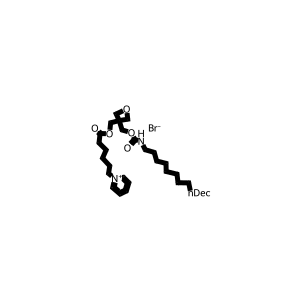 CCCCCCCCCCCCCCCCCCNC(=O)OCC1(COC(=O)CCCCC[n+]2ccccc2)COC1.[Br-]